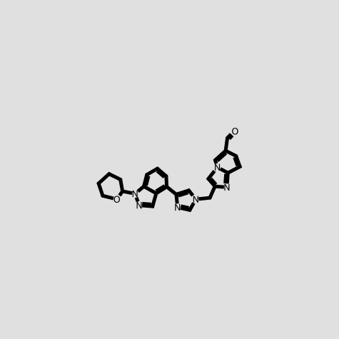 O=Cc1ccc2nc(Cn3cnc(-c4cccc5c4cnn5C4CCCCO4)c3)cn2c1